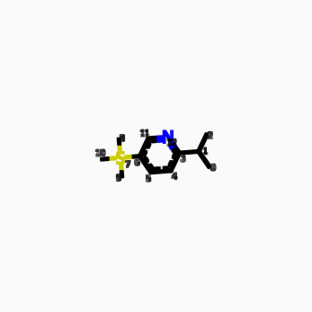 CC(C)c1ccc(S(C)(C)C)cn1